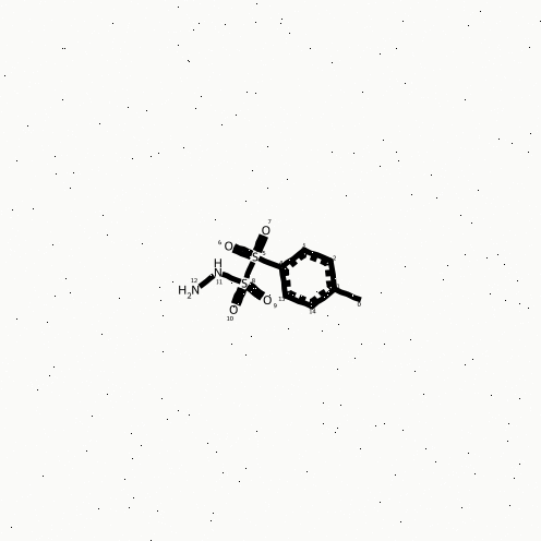 Cc1ccc(S(=O)(=O)S(=O)(=O)NN)cc1